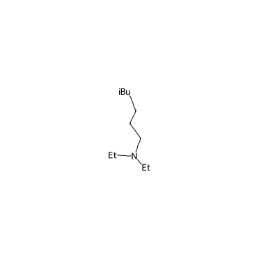 CCC(C)CCCN(CC)CC